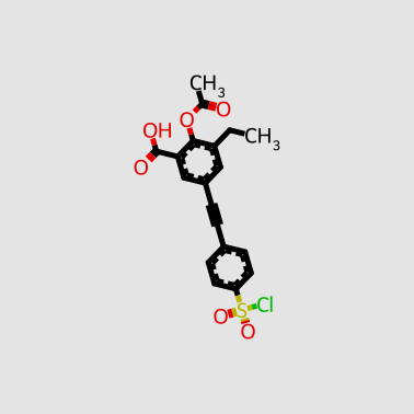 CCc1cc(C#Cc2ccc(S(=O)(=O)Cl)cc2)cc(C(=O)O)c1OC(C)=O